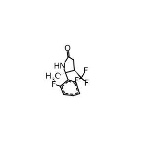 C[C@]1(c2ccccc2F)NC(=O)C[C@H]1C(F)(F)F